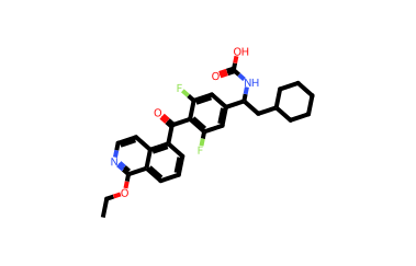 CCOc1nccc2c(C(=O)c3c(F)cc(C(CC4CCCCC4)NC(=O)O)cc3F)cccc12